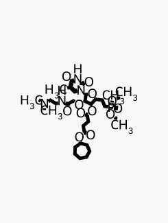 CCOP(=O)(C[C@@H](C)[C@H]1O[C@@H](n2cc(C)c(=O)[nH]c2=O)[C@H](OCC(=O)NCCN(C)C)[C@@H]1OC(=O)CCC(=O)OC1CCCCCC1)OCC